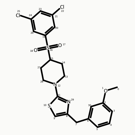 COc1cccc(Cc2csc(N3CCC(S(=O)(=O)c4cc(Cl)cc(Cl)c4)CC3)n2)c1